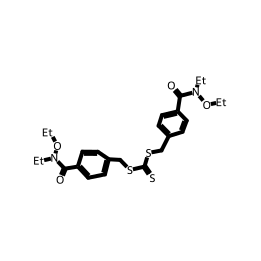 CCON(CC)C(=O)c1ccc(CSC(=S)SCc2ccc(C(=O)N(CC)OCC)cc2)cc1